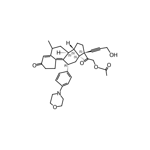 CC(=O)OCC(=O)[C@@]1(C#CCO)CC[C@H]2[C@@H]3CC(C)C4=CC(=O)CCC4=C3[C@@H](c3ccc(N4CCOCC4)cc3)C[C@@]21C